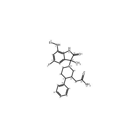 CCNc1cc(F)cc2c1NC(=O)C2(C)N1CCC(c2ccccc2)C(CC(N)=O)C1